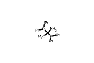 CC(C)P(C(C)C)C(C)(N)P(C(C)C)C(C)C